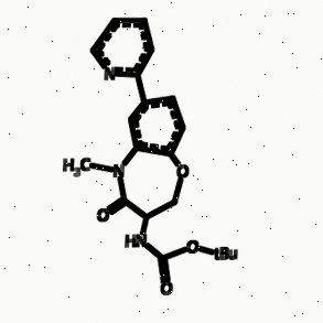 CN1C(=O)C(NC(=O)OC(C)(C)C)COc2ccc(-c3ccccn3)cc21